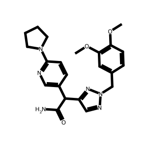 COc1ccc(Cn2ncc(C(C(N)=O)c3ccc(N4CCCC4)nc3)n2)cc1OC